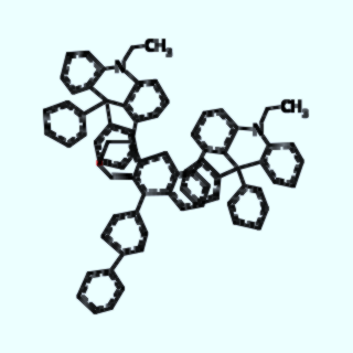 CCN1c2ccccc2C(c2ccccc2)(c2ccccc2)c2c(C3=c4cc5c(-c6cccc7c6C(c6ccccc6)(c6ccccc6)c6ccccc6N7CC)cccc5c(-c5ccc(-c6ccccc6)cc5)c4=CCC3)cccc21